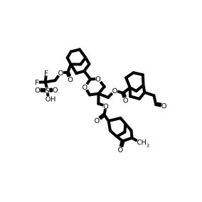 CC1CC2CC(C(=O)OCC3(COC(=O)C45CCCC(C4)C(CC=O)CC5)COC(C4CC5CCCC(C(=O)OCC(F)(F)S(=O)(=O)O)(C5)C4)OC3)CC(C2)C1=O